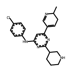 CC1CC=C(c2cc(Nc3ccc(Cl)cc3)nc(C3CCCNC3)n2)C=N1